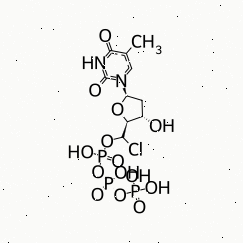 Cc1cn([C@H]2C[C@H](O)[C@@H](C(Cl)OP(=O)(O)OP(=O)(O)OP(=O)(O)O)O2)c(=O)[nH]c1=O